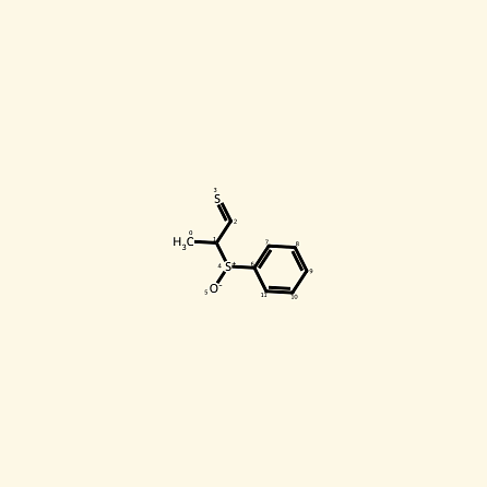 CC(C=S)[S+]([O-])c1ccccc1